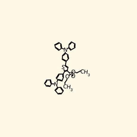 CCCOP(=O)(OCCC)c1cc(-c2ccc(N(c3ccccc3)c3ccccc3)cc2)sc1-c1ccc(N(c2ccccc2)c2ccccc2)cc1